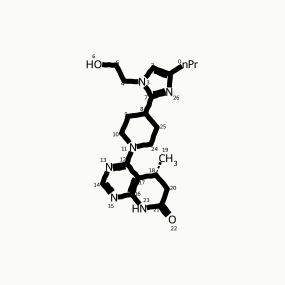 CCCc1cn(CCO)c(C2CCN(c3ncnc4c3[C@H](C)CC(=O)N4)CC2)n1